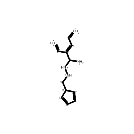 C=C/C=C(\C=C)C(N)NNCC1C=CC=C1